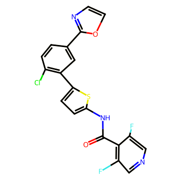 O=C(Nc1ccc(-c2cc(-c3ncco3)ccc2Cl)s1)c1c(F)cncc1F